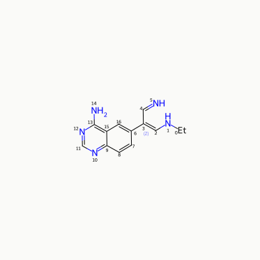 CCN/C=C(\C=N)c1ccc2ncnc(N)c2c1